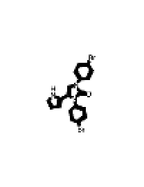 O=c1n(-c2ccc(Br)cc2)cc(-c2ccc[nH]2)n1-c1ccc(Br)cc1